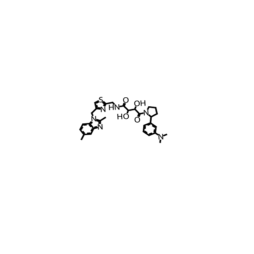 Cc1ccc2c(c1)nc(C)n2Cc1csc(CNC(=O)C(O)C(O)C(=O)N2CCCC2c2cccc(N(C)C)c2)n1